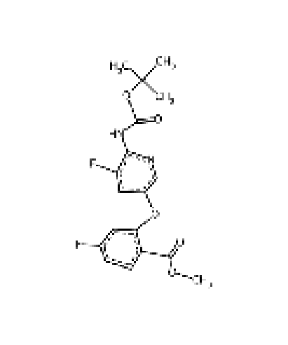 COC(=O)c1ccc(F)cc1Oc1cnc(NC(=O)OC(C)(C)C)c(F)c1